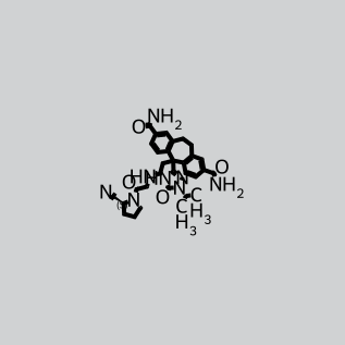 CC(C)n1nc(C2(CCNCC(=O)N3CCC[C@H]3C#N)c3ccc(C(N)=O)cc3CCc3cc(C(N)=O)ccc32)[nH]c1=O